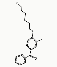 Cc1cc(C(=O)c2ccccc2)ccc1OCCCCCCBr